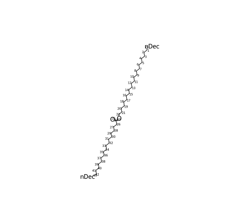 CCCCCCCCCCCCCCCCCCCCCCCCCCCCCCCCOC(=O)CCCCCCCCCCCCCCCCCCCCCCCCCCC